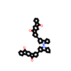 O=c1c2ccccc2c2cc3c(=O)c4ccc(-c5ccc6c(c5)c5ccccc5n6-n5c6ccccc6c6cc(-c7ccc8c(=O)c9cc%10c(cc9c8c7)c(=O)c7ccccc7%10)ccc65)cc4c3cc12